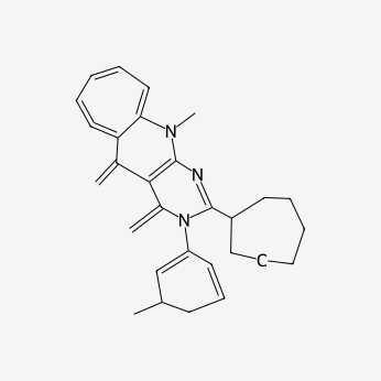 C=C1C2=C=CC=CC=C2N(C)C2=C1C(=C)N(C1=CC(C)CC=C1)C(C1CCCCCC1)=N2